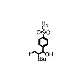 CC(C)(C)[C@@H](CF)C(O)c1ccc(S(C)(=O)=O)cc1